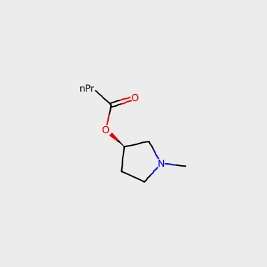 CCCC(=O)O[C@@H]1CCN(C)C1